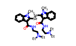 CCN(CC)CCNC(=O)c1c([Se][Se]c2c(C(=O)NCCN(CC)CC)c3ccccc3n2C)n(C)c2ccccc12